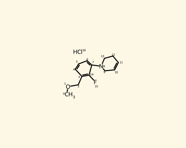 COCc1cccc(N2CC=CCC2)c1F.Cl